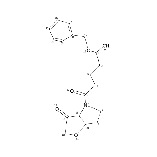 CC(CCCC(=O)N1CCC2OCC(=O)C21)OCc1ccccc1